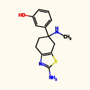 CNC1(c2cccc(O)c2)CCc2nc(N)sc2C1